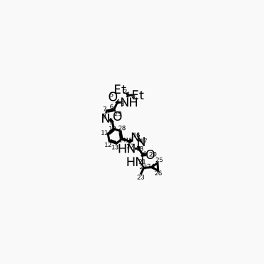 CCC(CC)NC(=O)c1cnc(-c2cccc(-c3nnc(C(=O)NC(C)C4CC4)[nH]3)c2)o1